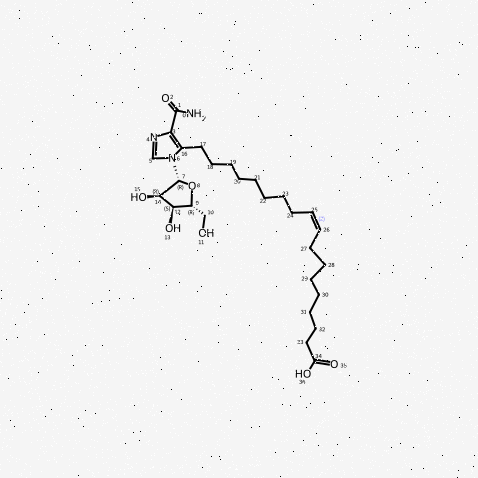 NC(=O)c1ncn([C@@H]2O[C@H](CO)[C@@H](O)[C@H]2O)c1CCCCCCCC/C=C\CCCCCCCC(=O)O